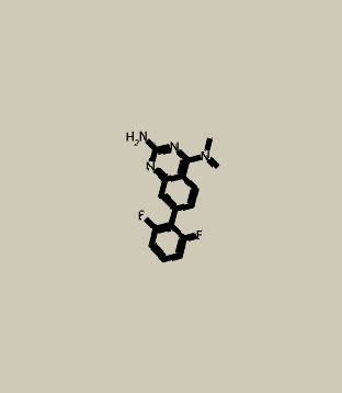 CN(C)c1nc(N)nc2cc(-c3c(F)cccc3F)ccc12